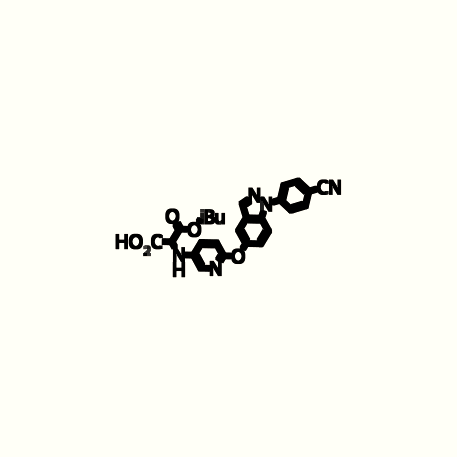 CCC(C)OC(=O)C(Nc1ccc(Oc2ccc3c(cnn3-c3ccc(C#N)cc3)c2)nc1)C(=O)O